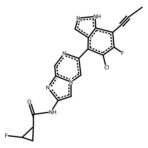 CC#Cc1c(F)c(Cl)c(-c2cn3cc(NC(=O)C4CC4F)nc3cn2)c2cn[nH]c12